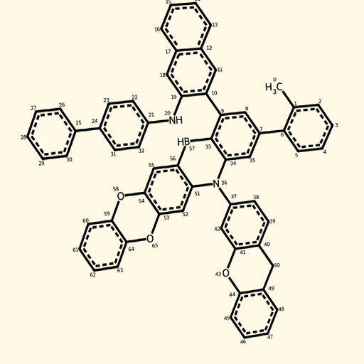 Cc1ccccc1-c1cc(-c2cc3ccccc3cc2Nc2ccc(-c3ccccc3)cc2)c2c(c1)N(c1ccc3c(c1)Oc1ccccc1C3)c1cc3c(cc1B2)Oc1ccccc1O3